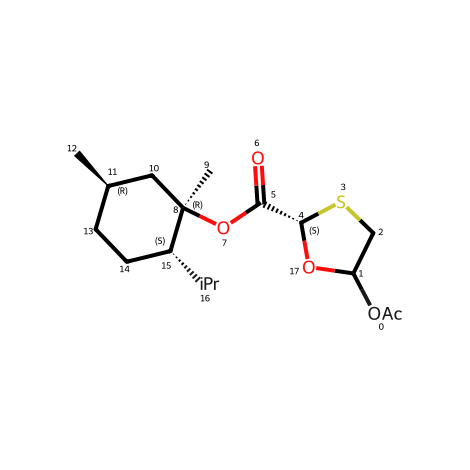 CC(=O)OC1CS[C@@H](C(=O)O[C@]2(C)C[C@H](C)CC[C@H]2C(C)C)O1